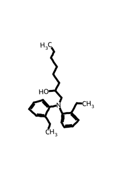 CCCCCCC(O)CN(c1ccccc1CC)c1ccccc1CC